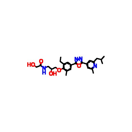 CCc1cc(-c2nnc(-c3cc(C)nc(CC(C)C)c3)o2)cc(C)c1OC[C@@H](O)CNC(=O)CO